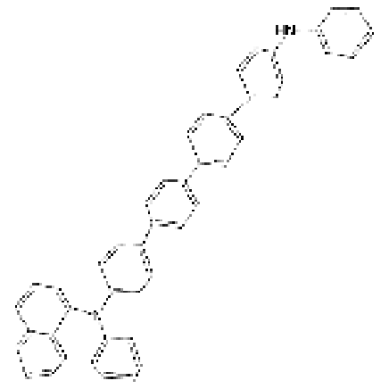 c1ccc(Nc2ccc(-c3ccc(-c4ccc(-c5ccc(N(c6ccccc6)c6cccc7ccccc67)cc5)cc4)cc3)cc2)cc1